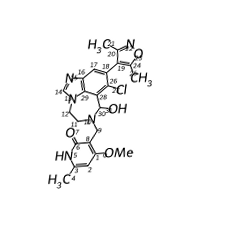 COc1cc(C)[nH]c(=O)c1CN1CCn2cnc3cc(-c4c(C)noc4C)c(Cl)c(c32)C1O